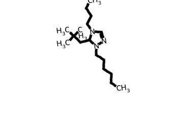 CCCCCCN1N=CN(CCCC)C1CC(C)(C)C